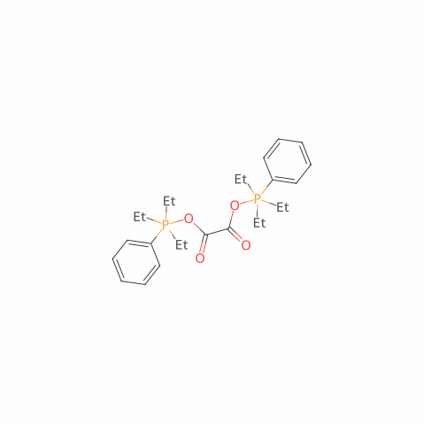 CCP(CC)(CC)(OC(=O)C(=O)OP(CC)(CC)(CC)c1ccccc1)c1ccccc1